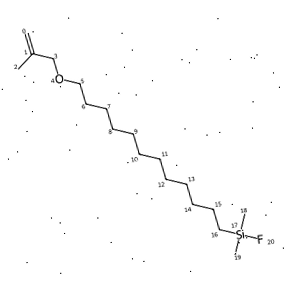 C=C(C)COCCCCCCCCCCCC[Si](C)(C)F